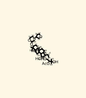 CC(=O)O[C@@H]([C@H]1C[C@@H](C)C2[C@H](O1)[C@H](O)[C@@]1(C)[C@@H]3CC[C@H]4C(C)(C)[C@@H](O[C@H]5CN(C6CCOC6)CCO5)CC[C@@]45C[C@@]35CC[C@]21C)C(C)(C)O